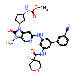 COC(=O)N[C@@H]1CC[C@@H](n2c(=O)n(C)c3cnc(Nc4cc(NC(=O)C5(F)CCOCC5)cc(-c5cccc(C#N)c5)c4)cc32)C1